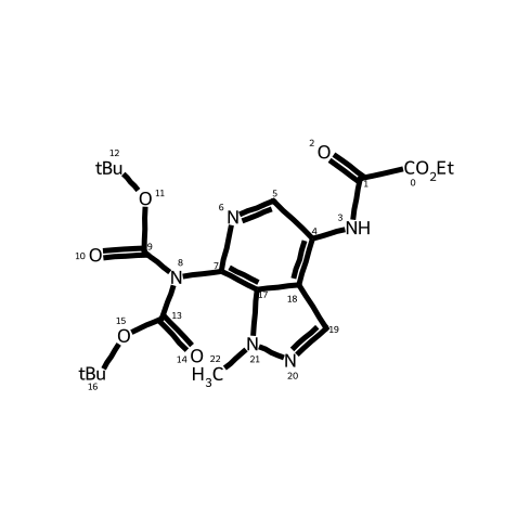 CCOC(=O)C(=O)Nc1cnc(N(C(=O)OC(C)(C)C)C(=O)OC(C)(C)C)c2c1cnn2C